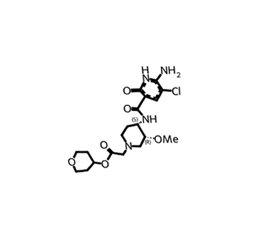 CO[C@@H]1CN(CC(=O)OC2CCOCC2)CC[C@@H]1NC(=O)c1cc(Cl)c(N)[nH]c1=O